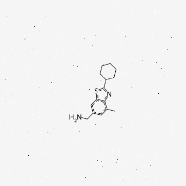 Cc1cc(CN)cc2sc(C3CCCCC3)nc12